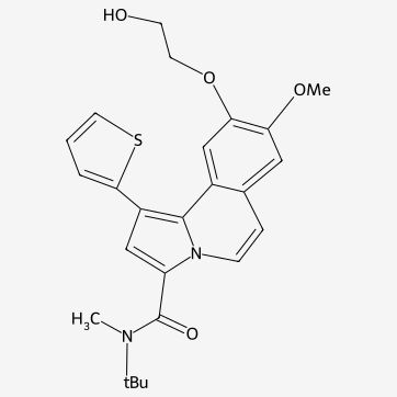 COc1cc2ccn3c(C(=O)N(C)C(C)(C)C)cc(-c4cccs4)c3c2cc1OCCO